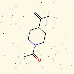 C=C(C)C1CCN(C(C)=O)CC1